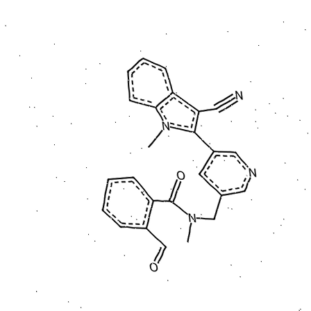 CN(Cc1cncc(-c2c(C#N)c3ccccc3n2C)c1)C(=O)c1ccccc1C=O